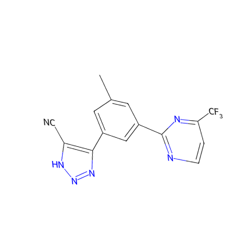 Cc1cc(-c2nccc(C(F)(F)F)n2)cc(-c2nn[nH]c2C#N)c1